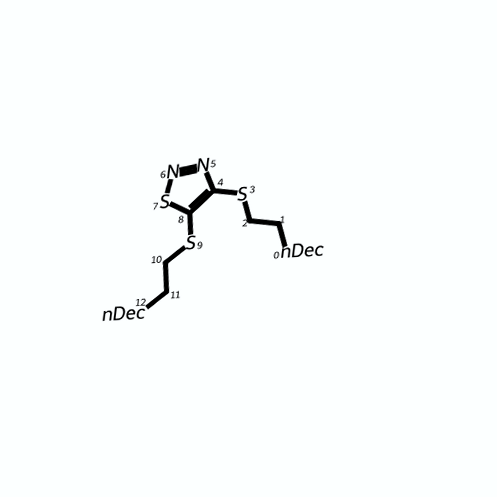 CCCCCCCCCCCCSc1nnsc1SCCCCCCCCCCCC